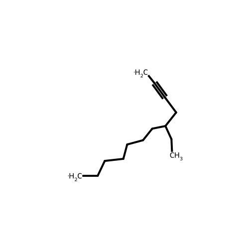 [CH2]C#CCC(CC)CCCCCC[CH2]